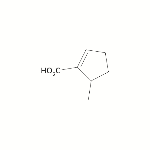 CC1CCC=C1C(=O)O